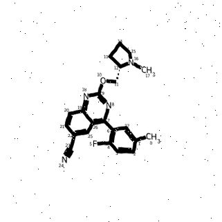 Cc1ccc(F)c(-c2nc(OC[C@@H]3CCCN3C)nc3ccc(C#N)cc23)c1